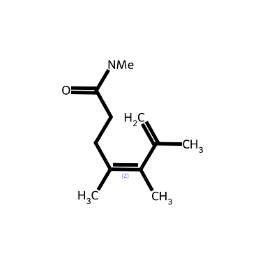 C=C(C)/C(C)=C(/C)CCC(=O)NC